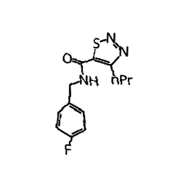 CCCc1nnsc1C(=O)NCc1ccc(F)cc1